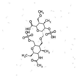 CC[C@H]1OC(COS(=O)(=O)O)[C@@H](COC[C@@H]2OC(C(=O)O)[C@@H](COC)[C@@H](C)C2OS(=O)(=O)O)[C@@H](C)C1NC(C)=O